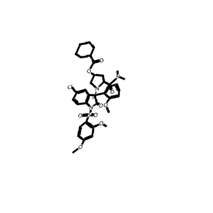 COc1ccc(S(=O)(=O)N2C(=O)[C@@](c3ccccc3OC)(N3CC(OC(=O)C4CCCCC4)CC3C(=O)N(C)C)c3cc(Cl)ccc32)c(OC)c1